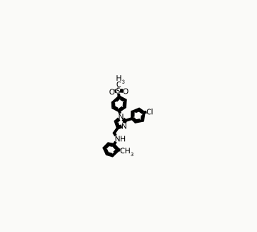 Cc1ccccc1NCc1cn(-c2ccc(S(C)(=O)=O)cc2)c(-c2ccc(Cl)cc2)n1